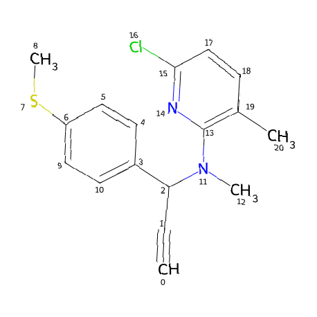 C#CC(c1ccc(SC)cc1)N(C)c1nc(Cl)ccc1C